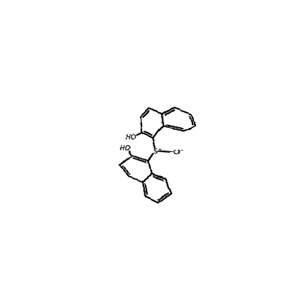 [O-][S+](c1c(O)ccc2ccccc12)c1c(O)ccc2ccccc12